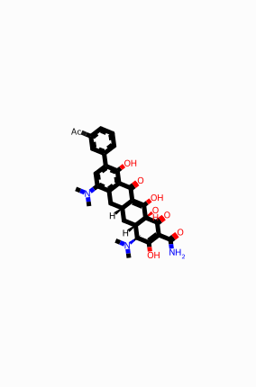 CC(=O)c1cccc(-c2cc(N(C)C)c3c(c2O)C(=O)C2=C(O)[C@]4(O)C(=O)C(C(N)=O)=C(O)[C@@H](N(C)C)[C@@H]4C[C@@H]2C3)c1